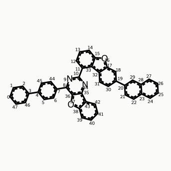 c1ccc(-c2ccc(-c3nc(-c4cccc5oc6cc(-c7ccc8ccccc8c7)ccc6c45)nc4c3oc3ccccc34)cc2)cc1